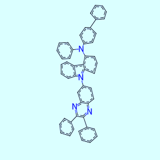 c1ccc(-c2ccc(N(c3ccccc3)c3cccc4c3c3ccccc3n4-c3ccc4nc(-c5ccccc5)c(-c5ccccc5)nc4c3)cc2)cc1